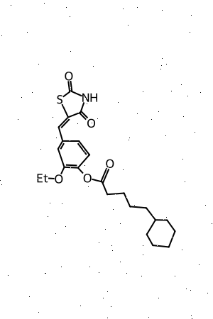 CCOc1cc(C=C2SC(=O)NC2=O)ccc1OC(=O)CCCCC1CCCCC1